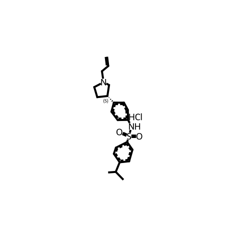 C=CCN1CC[C@@H](c2ccc(NS(=O)(=O)c3ccc(C(C)C)cc3)cc2)C1.Cl